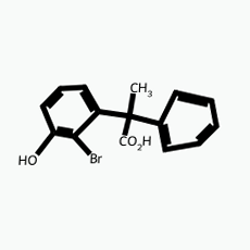 CC(C(=O)O)(c1ccccc1)c1cccc(O)c1Br